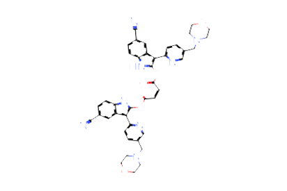 N#Cc1ccc2[nH]c(OC(=O)/C=C\C(=O)Oc3[nH]c4ccc(C#N)cc4c3-c3ccc(CN4CCOCC4)cn3)c(-c3ccc(CN4CCOCC4)cn3)c2c1